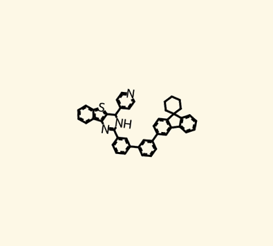 c1cc(C2=Nc3c(sc4ccccc34)C(c3ccncc3)N2)cc(-c2cccc(-c3ccc4c(c3)-c3ccccc3C43CCCCC3)c2)c1